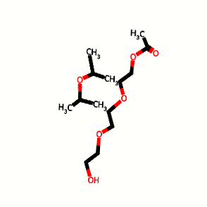 CC(=O)OCCOCCOCCO.CC(C)OC(C)C